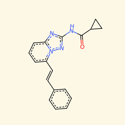 O=C(Nc1nc2cccc(/C=C/c3ccccc3)n2n1)C1CC1